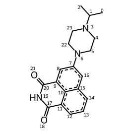 CC(C)N1CCN(c2cc3c4c(cccc4c2)C(=O)NC3=O)CC1